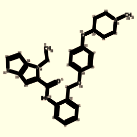 CCn1c(C(=O)Nc2ccccc2COc2ccc(OC3CCN(C)CC3)cc2)cc2sccc21